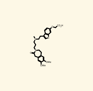 COc1cc2c(cc1OC)CC(=O)N(CCCN(C)CCc1csc3cc(OCC(=O)O)ccc13)CC2